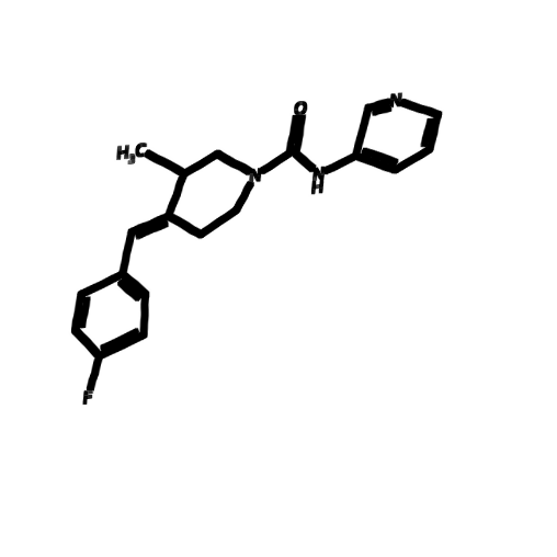 CC1CN(C(=O)Nc2cccnc2)CC/C1=C\c1ccc(F)cc1